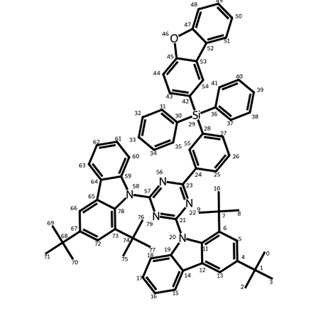 CC(C)(C)c1cc(C(C)(C)C)c2c(c1)c1ccccc1n2-c1nc(-c2cccc([Si](c3ccccc3)(c3ccccc3)c3ccc4oc5ccccc5c4c3)c2)nc(-n2c3ccccc3c3cc(C(C)(C)C)cc(C(C)(C)C)c32)n1